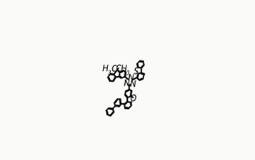 CC1(C)c2ccccc2-c2cc(-c3nc(-c4ccc5c(c4)oc4cccc(-c6cccc(-c7ccccc7)c6)c45)nc(-c4cccc5c4sc4ccccc45)n3)ccc21